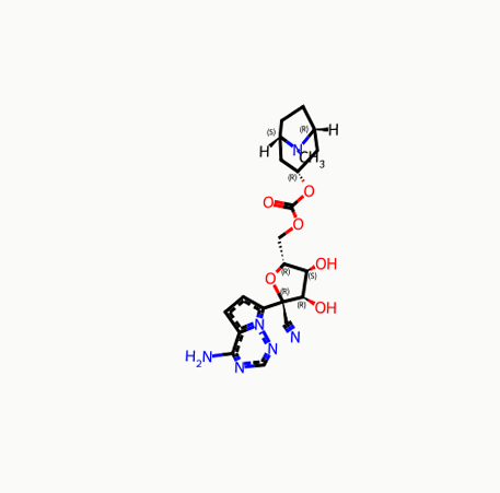 CN1[C@@H]2CC[C@H]1C[C@@H](OC(=O)OC[C@H]1O[C@@](C#N)(c3ccc4c(N)ncnn34)[C@H](O)[C@@H]1O)C2